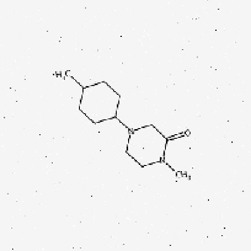 CC1CCC(N2CCN(C)C(=O)C2)CC1